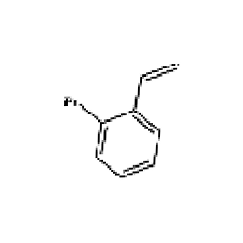 [CH]=Cc1ccccc1C(C)C